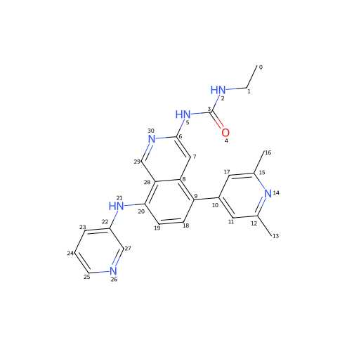 CCNC(=O)Nc1cc2c(-c3cc(C)nc(C)c3)ccc(Nc3cccnc3)c2cn1